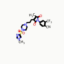 CC1=C(CCCN2CCN(S(=O)(=O)c3cn(C)cn3)CC2)C(=O)N(c2ccc(C#N)c(C(F)(F)F)c2)C1=O